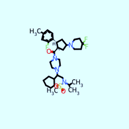 Cc1ccc([C@@H]2CC(N3CCC(F)(F)CC3)C[C@H]2C(=O)N2CCN(C(CN(C(C)C)S(C)(=O)=O)C3CCCCC3)CC2)c(F)c1